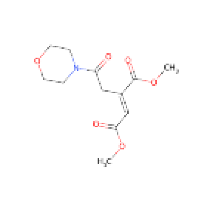 COC(=O)/C=C(\CC(=O)N1CCOCC1)C(=O)OC